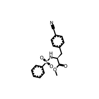 COC(=O)[C@H](Cc1ccc(C#N)cc1)NS(=O)(=O)c1ccccc1